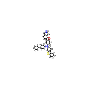 c1ccc(-c2ccc(N(c3ccc4c(c3)sc3ccccc34)c3ccc4oc5c6ccncc6ccc5c4c3)cc2)cc1